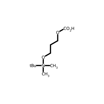 CC(C)(C)[Si](C)(C)OCCCOC(=O)O